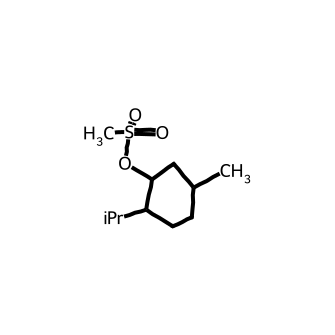 CC1CCC(C(C)C)C(OS(C)(=O)=O)C1